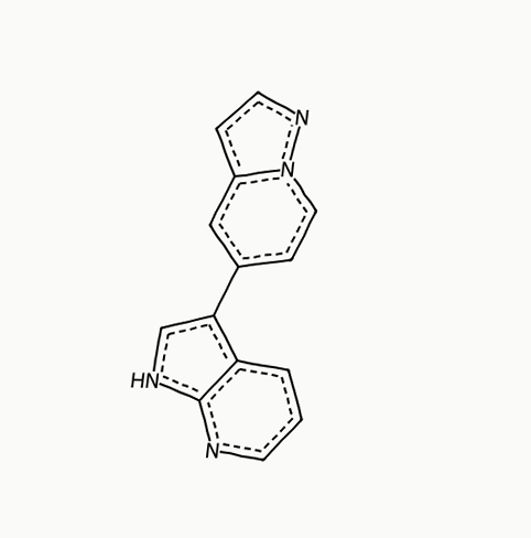 c1cnc2[nH]cc(-c3ccn4nccc4c3)c2c1